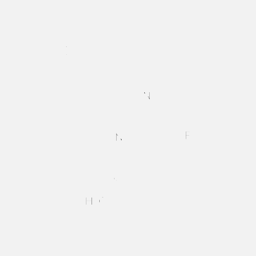 CSc1ccc(C2CCOC2)c(CN2CCC(F)(F)C2)n1